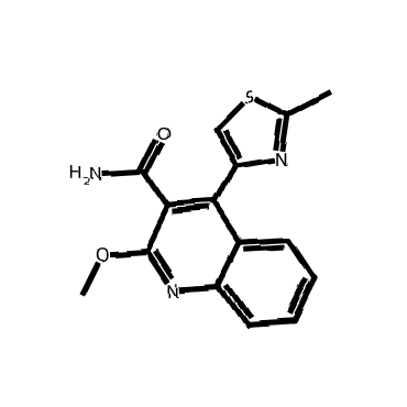 COc1nc2ccccc2c(-c2csc(C)n2)c1C(N)=O